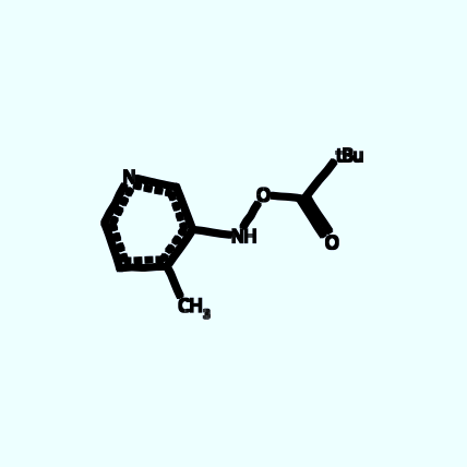 Cc1ccncc1NOC(=O)C(C)(C)C